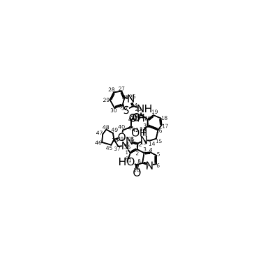 Cc1c(-c2cccnc2C(=O)O)c(N2CCc3cccc(C(=O)Nc4nc5ccccc5s4)c3C2)nn1CC1(OCC(O)CO)CCCCC1